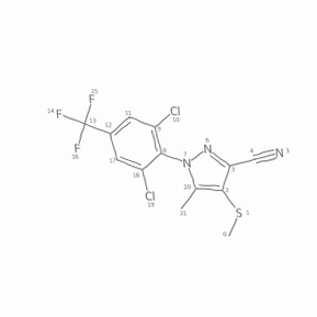 CSc1c(C#N)nn(-c2c(Cl)cc(C(F)(F)F)cc2Cl)c1C